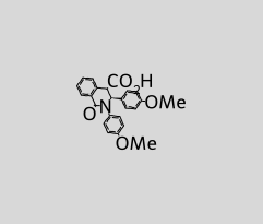 COc1ccc([C@@H]2[C@@H](C(=O)O)c3ccccc3C(=O)N2c2ccc(OC)cc2)cc1